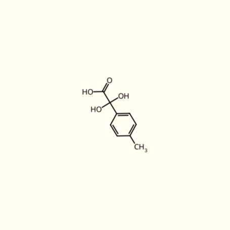 Cc1ccc(C(O)(O)C(=O)O)cc1